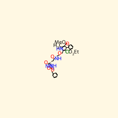 CCOC(=O)C1=C(COCCNC(=O)CC[C@H](NC(=O)OCc2ccccc2)C(N)=O)NC(C)=C(C(=O)OC)C1c1ccccc1Cl